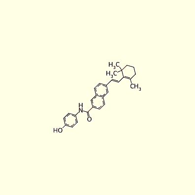 CC1=C(C=Cc2ccc3cc(C(=O)Nc4ccc(O)cc4)ccc3c2)C(C)(C)CCC1